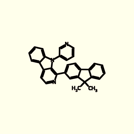 CC1(C)c2ccccc2-c2ccc(-c3nccc4c5ccccc5n(-c5cccnc5)c34)cc21